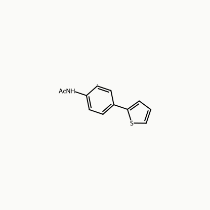 CC(=O)Nc1[c]cc(-c2cccs2)cc1